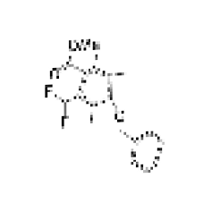 COC(=O)c1c(C)c(C)c(OCc2ccccc2)c(C)c1C(F)F